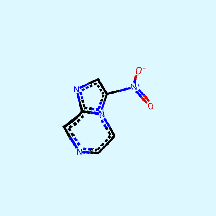 O=[N+]([O-])c1cnc2cnccn12